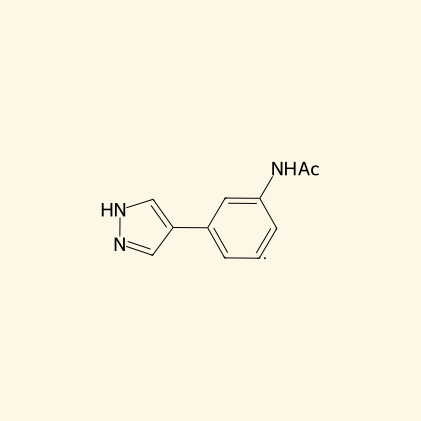 CC(=O)Nc1c[c]cc(-c2cn[nH]c2)c1